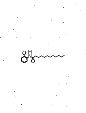 CCCCCCCCCCCC(=O)Nc1ccccc1[O]